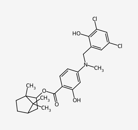 CN(Cc1cc(Cl)cc(Cl)c1O)c1ccc(C(=O)OC2CC3CCC2(C)C3(C)C)c(O)c1